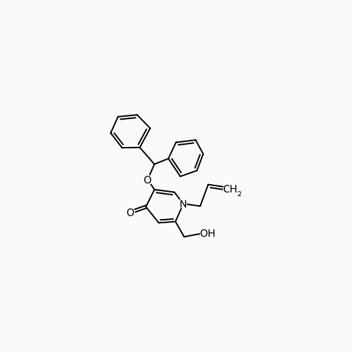 C=CCn1cc(OC(c2ccccc2)c2ccccc2)c(=O)cc1CO